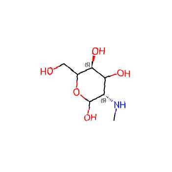 CN[C@@H]1C(O)OC(CO)[C@@H](O)C1O